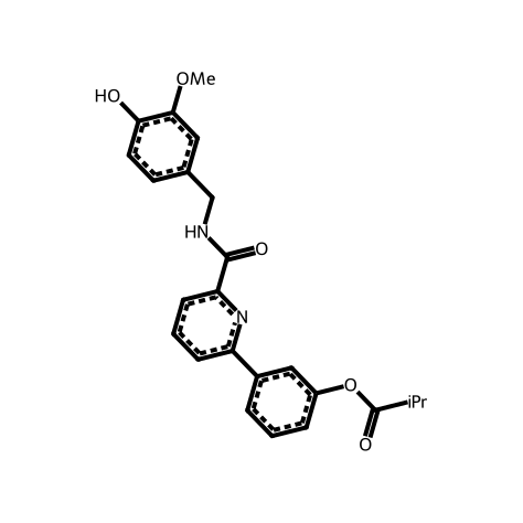 COc1cc(CNC(=O)c2cccc(-c3cccc(OC(=O)C(C)C)c3)n2)ccc1O